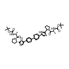 C[C@H](NC(=O)OC(C)(C)C)C(=O)N1CCCC1c1ncc(-c2ccc(-c3ccc(-c4cnc([C@@H]5CCCN5C(=O)[C@H](C)NC(=O)OC(C)(C)C)[nH]4)cc3)cc2)[nH]1